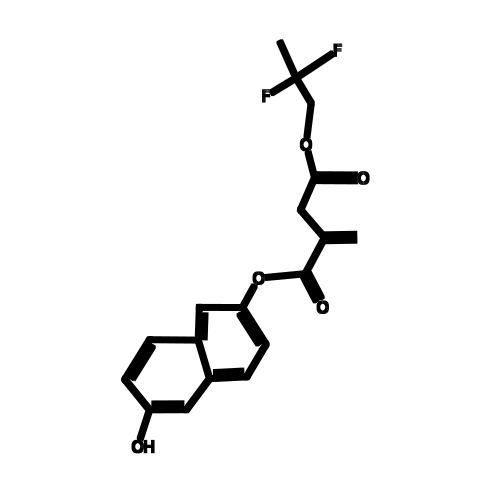 C=C(CC(=O)OCC(C)(F)F)C(=O)Oc1ccc2cc(O)ccc2c1